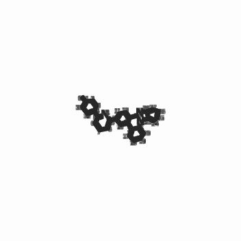 Cc1ccc(-c2cccc(-c3ccc4c(c3)c3ccccc3n3c5ccccc5nc43)n2)cc1